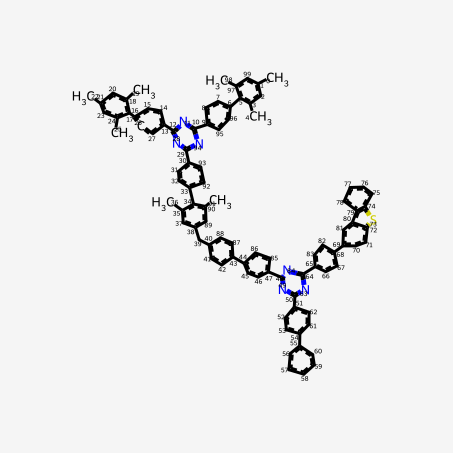 Cc1cc(C)c(-c2ccc(-c3nc(-c4ccc(-c5c(C)cc(C)cc5C)cc4)nc(-c4ccc(-c5c(C)cc(Cc6ccc(-c7ccc(-c8nc(-c9ccc(-c%10ccccc%10)cc9)nc(-c9ccc(-c%10ccc%11sc%12ccccc%12c%11c%10)cc9)n8)cc7)cc6)cc5C)cc4)n3)cc2)c(C)c1